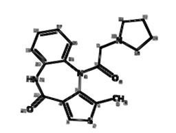 Cc1scc2c1N(C(=O)CN1CCCC1)c1ccccc1NC2=O